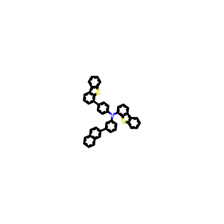 c1cc(-c2ccc3ccccc3c2)cc(N(c2ccc(-c3cccc4c3sc3ccccc34)cc2)c2cccc3c2sc2ccccc23)c1